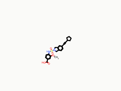 COc1cc(C(=O)O)ccc1NS(=O)(=O)N1Cc2ccc(C#CC3CCCC3)cc2C1